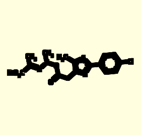 CCOC(=O)C(C)=NN(C)OC(=O)Cc1nc(-c2ccc(Cl)cc2)sc1C